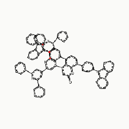 O=c1cc(-c2cc(-c3cc(-c4ccccc4)nc(-c4ccccc4)c3)nc(-c3cc(-c4ccccc4)nc(-c4ccccc4)c3)c2)c2c(-c3ccc(-n4c5ccccc5c5ccccc54)cc3)ccc(-c3ccc(-n4c5ccccc5c5ccccc54)cc3)c2o1